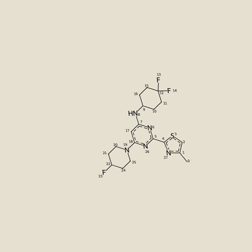 Cc1csc(-c2nc(NC3CCC(F)(F)CC3)cc(N3CCC(F)CC3)n2)n1